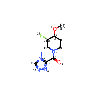 CCO[C@H]1CCN(C(=O)c2nnc[nH]2)C[C@H]1F